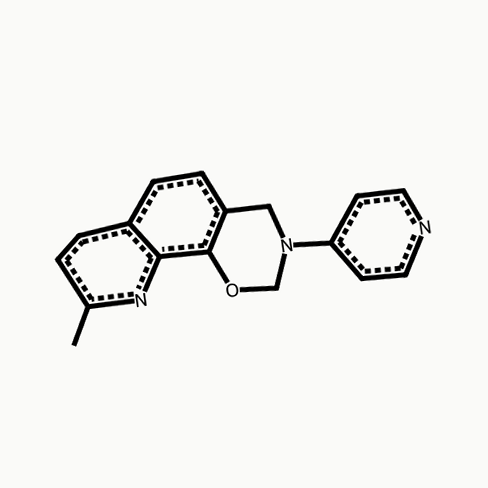 Cc1ccc2ccc3c(c2n1)OCN(c1ccncc1)C3